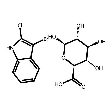 Clc1[nH]c2ccccc2c1Br.O=C(O)[C@H]1O[C@@H](O)[C@H](O)[C@@H](O)[C@@H]1O